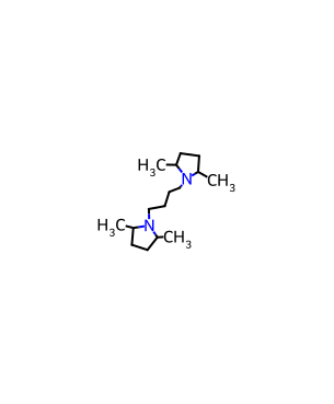 CC1CCC(C)N1CCCCN1C(C)CCC1C